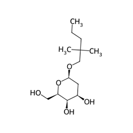 CCCC(C)(C)CO[C@H]1C[C@@H](O)[C@@H](O)[C@@H](CO)O1